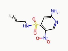 C=CCNS(=O)(=O)c1cc(N)ncc1[N+](=O)[O-]